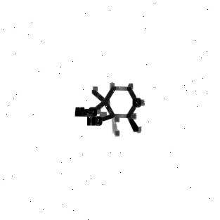 COC1(C)CCO[C@@H](C)[C@@]1(C)O